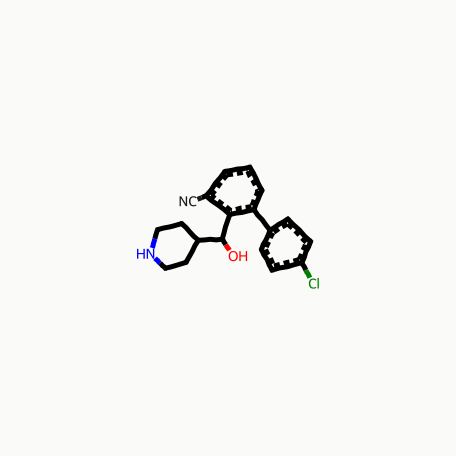 N#Cc1cccc(-c2ccc(Cl)cc2)c1C(O)C1CCNCC1